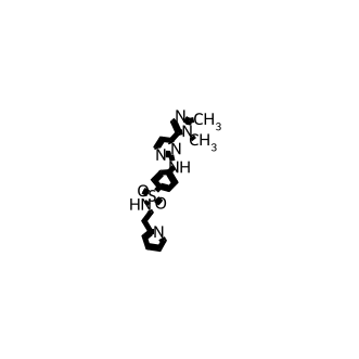 Cc1ncc(-c2ccnc(Nc3ccc(S(=O)(=O)NCCc4ccccn4)cc3)n2)n1C